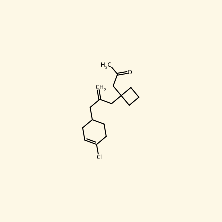 C=C(CC1CC=C(Cl)CC1)CC1(CC(C)=O)CCC1